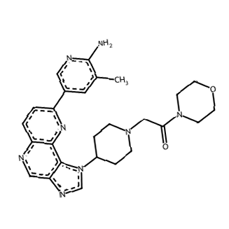 Cc1cc(-c2ccc3ncc4ncn(C5CCN(CC(=O)N6CCOCC6)CC5)c4c3n2)cnc1N